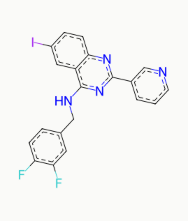 Fc1ccc(CNc2nc(-c3cccnc3)nc3ccc(I)cc23)cc1F